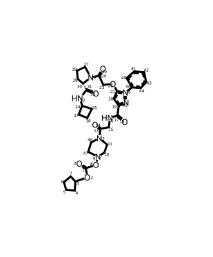 O=C(OC1CCCC1)ON1CCN(C(=O)CNC(=O)c2cc(OCC(=O)N3CCC[C@H]3C(=O)NC3CCC3)n(-c3ccccc3)n2)CC1